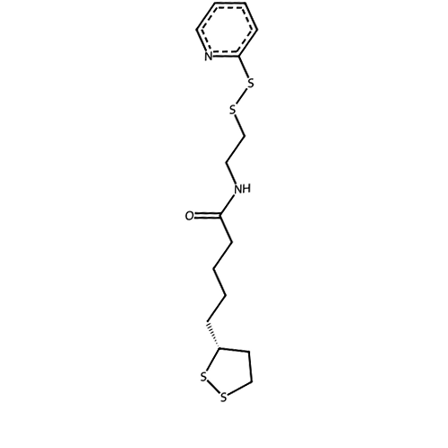 O=C(CCCC[C@@H]1CCSS1)NCCSSc1ccccn1